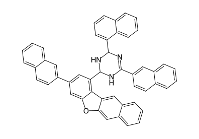 c1ccc2cc(C3=NC(c4cccc5ccccc45)NC(c4cc(-c5ccc6ccccc6c5)cc5oc6cc7ccccc7cc6c45)N3)ccc2c1